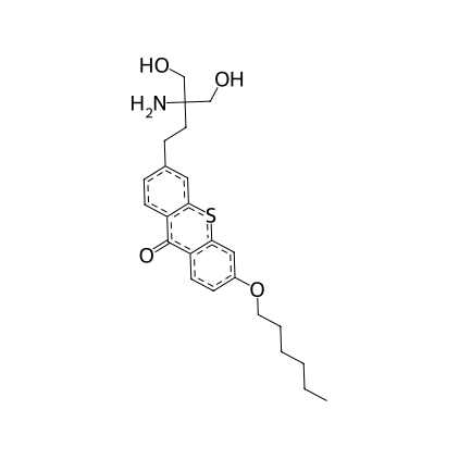 CCCCCCOc1ccc2c(=O)c3ccc(CCC(N)(CO)CO)cc3sc2c1